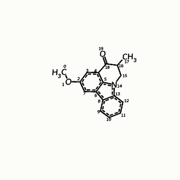 COc1cc2c3c(c1)c1ccccc1n3CC(C)C2=O